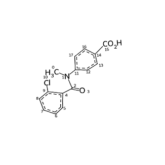 CN(C(=O)c1ccccc1Cl)c1ccc(C(=O)O)cc1